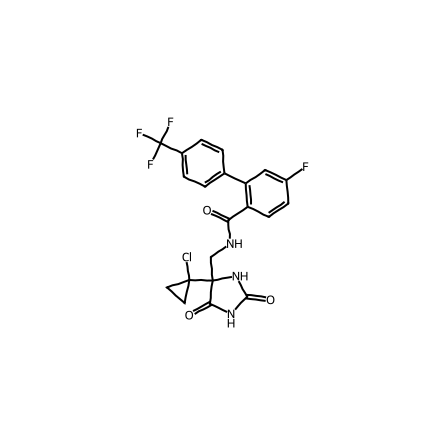 O=C1NC(=O)C(CNC(=O)c2ccc(F)cc2-c2ccc(C(F)(F)F)cc2)(C2(Cl)CC2)N1